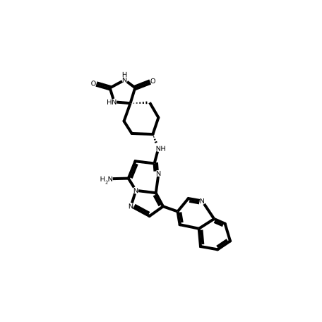 Nc1cc(N[C@H]2CC[C@]3(CC2)NC(=O)NC3=O)nc2c(-c3cnc4ccccc4c3)cnn12